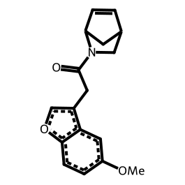 COc1ccc2occ(CC(=O)N3CC4C=CC3C4)c2c1